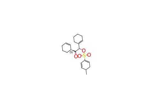 CC1C=CC(S(=O)(=O)OC(C(=O)[C@@H]2C=CCCC2)C2=CCCCC2)=CC1